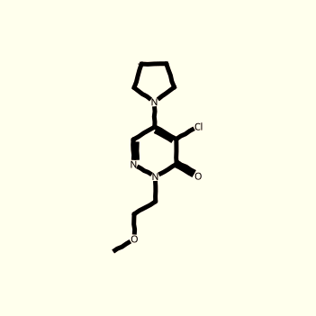 COCCn1ncc(N2C[CH]CC2)c(Cl)c1=O